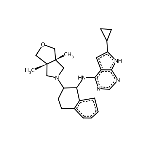 C[C@@]12COC[C@]1(C)CN(C1CCc3ccccc3C1Nc1ncnc3[nH]c(C4CC4)cc13)C2